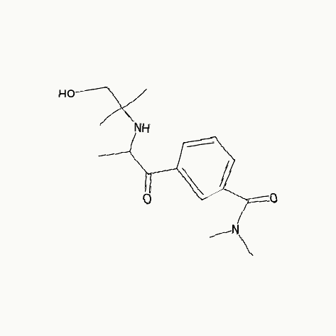 CC(NC(C)(C)CO)C(=O)c1cccc(C(=O)N(C)C)c1